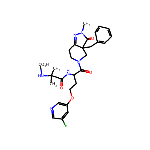 CN1N=C2CCN(C(=O)C(CCOc3cncc(F)c3)NC(=O)C(C)(C)NC(=O)O)CC2(Cc2ccccc2)C1=O